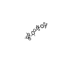 CCOC(=O)C(Cc1ccc(OCc2cnc(-c3ccc(C(F)(F)F)cc3)s2)cc1C)OCC